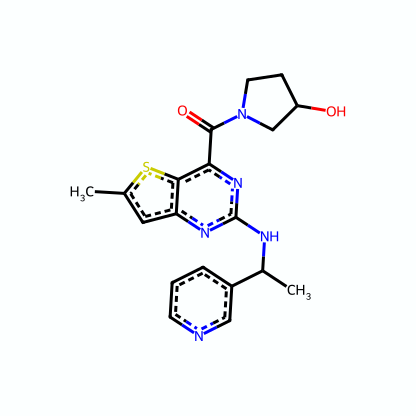 Cc1cc2nc(NC(C)c3cccnc3)nc(C(=O)N3CCC(O)C3)c2s1